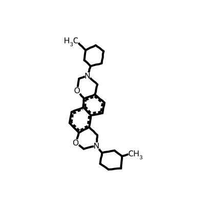 CC1CCCC(N2COc3c(ccc4c5c(ccc34)OCN(C3CCCC(C)C3)C5)C2)C1